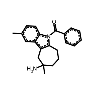 Cc1ccc2c(c1)c1c(n2C(=O)c2ccccc2)CCCC(C)(N)C1